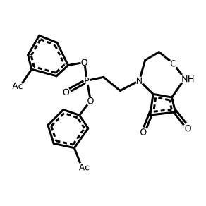 CC(=O)c1cccc(OP(=O)(CCN2CCCNc3c2c(=O)c3=O)Oc2cccc(C(C)=O)c2)c1